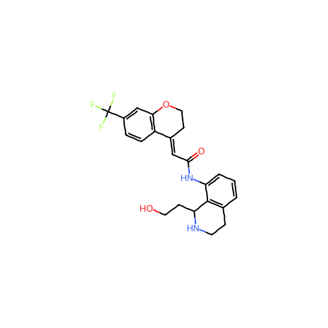 O=C(C=C1CCOc2cc(C(F)(F)F)ccc21)Nc1cccc2c1C(CCO)NCC2